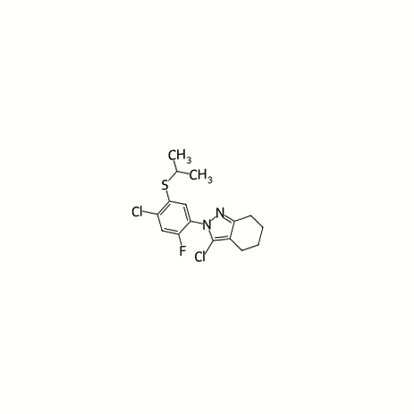 CC(C)Sc1cc(-n2nc3c(c2Cl)CCCC3)c(F)cc1Cl